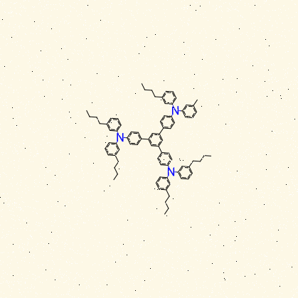 CCCCc1cccc(N(c2ccc(-c3cc(-c4ccc(N(c5cccc(CCCC)c5)c5cccc(CCCC)c5)cc4)cc(-c4ccc(N(c5cccc(CCCC)c5)c5cccc(CCCC)c5)cc4)c3)cc2)c2cccc(C)c2)c1